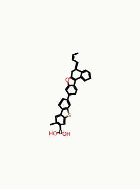 C/C=C\C=C1/Cc2oc3cc(-c4ccc5c(c4)sc4cc(B(O)O)c(C)cc45)ccc3c2-c2ccccc21